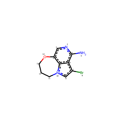 Nc1ncc2c3c1c(Br)cn3CCCO2